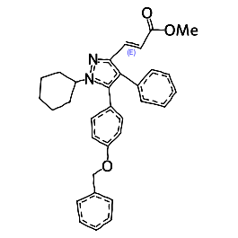 COC(=O)/C=C/c1nn(C2CCCCC2)c(-c2ccc(OCc3ccccc3)cc2)c1-c1ccccc1